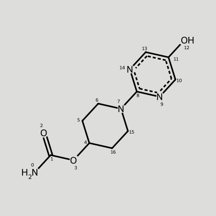 NC(=O)OC1CCN(c2ncc(O)cn2)CC1